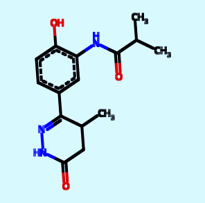 CC(C)C(=O)Nc1cc(C2=NNC(=O)CC2C)ccc1O